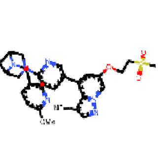 COc1ccc(CN2C3CC2CN(c2ccc(-c4cc(OCCS(C)(=O)=O)cn5ncc(C#N)c45)cn2)C3)cn1